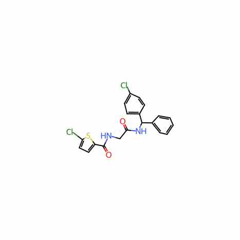 O=C(CNC(=O)c1ccc(Cl)s1)NC(c1ccccc1)c1ccc(Cl)cc1